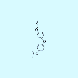 C=CCOc1ccc(Oc2ccc(OC(C)C)cc2)cc1